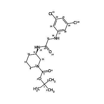 CC(C)(C)OC(=O)N1CCC[C@@H](NC(=O)CNc2cc(Cl)cc(Cl)c2)C1